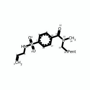 C=CCNS(=O)(=O)c1ccc(C(=O)N(C)CC(C)CCC)cc1